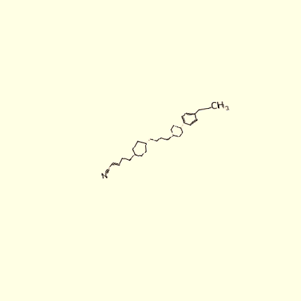 CCCc1ccc([C@H]2CC[C@H](CCCC[C@H]3CC[C@H](CC/C=C/C#N)CC3)CC2)cc1